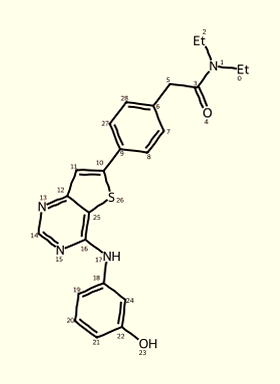 CCN(CC)C(=O)Cc1ccc(-c2cc3ncnc(Nc4cccc(O)c4)c3s2)cc1